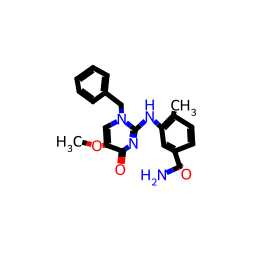 COc1cn(Cc2ccccc2)c(Nc2cc(C(N)=O)ccc2C)nc1=O